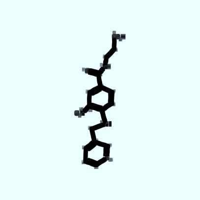 O=C(O)CCNC(=O)c1ccc(NCc2cccnc2)c([N+](=O)[O-])c1